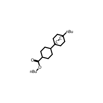 CCCCOC(=O)C1CCC(C23CCC(CCCC)(CC2)CC3)CC1